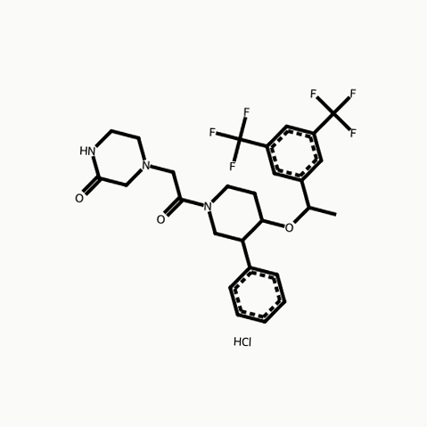 CC(OC1CCN(C(=O)CN2CCNC(=O)C2)CC1c1ccccc1)c1cc(C(F)(F)F)cc(C(F)(F)F)c1.Cl